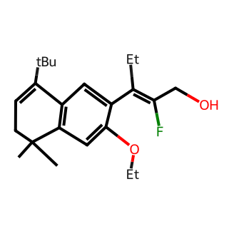 CCOc1cc2c(cc1C(CC)=C(F)CO)C(C(C)(C)C)=CCC2(C)C